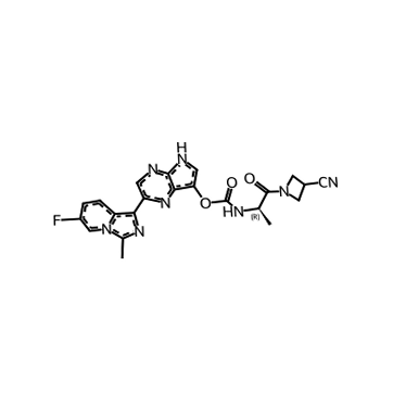 Cc1nc(-c2cnc3[nH]cc(OC(=O)N[C@H](C)C(=O)N4CC(C#N)C4)c3n2)c2ccc(F)cn12